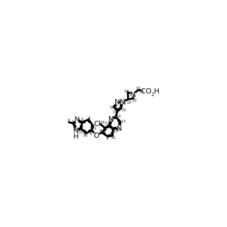 Cc1nc2ccc(Oc3ccc4ncc(-c5cnn(C6CN(CC(=O)O)C6)c5)nc4c3Cl)cc2[nH]1